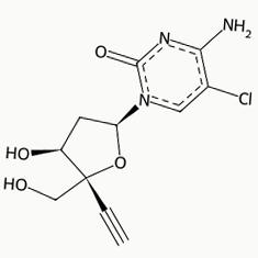 C#C[C@]1(CO)O[C@H](n2cc(Cl)c(N)nc2=O)C[C@@H]1O